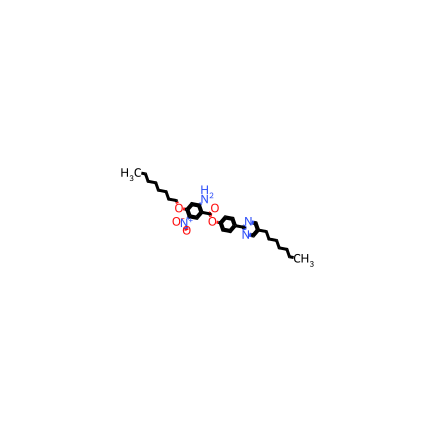 CCCCCCCCOc1cc(N)c(C(=O)Oc2ccc(-c3ncc(CCCCCCC)cn3)cc2)cc1[N+](=O)[O-]